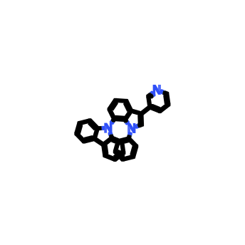 c1ccc(-n2cc(-c3cccnc3)c3cccc(-n4c5ccccc5c5ccccc54)c32)cc1